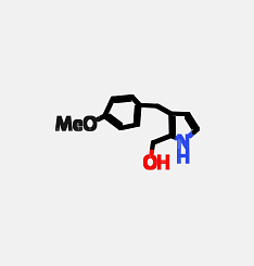 COc1ccc(Cc2cc[nH]c2CO)cc1